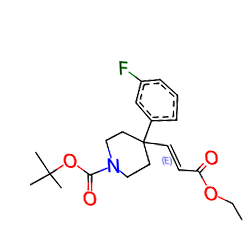 CCOC(=O)/C=C/C1(c2cccc(F)c2)CCN(C(=O)OC(C)(C)C)CC1